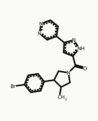 CC1CN(C(=O)c2cc(-c3ccnnc3)n[nH]2)CC1c1ccc(Br)cc1